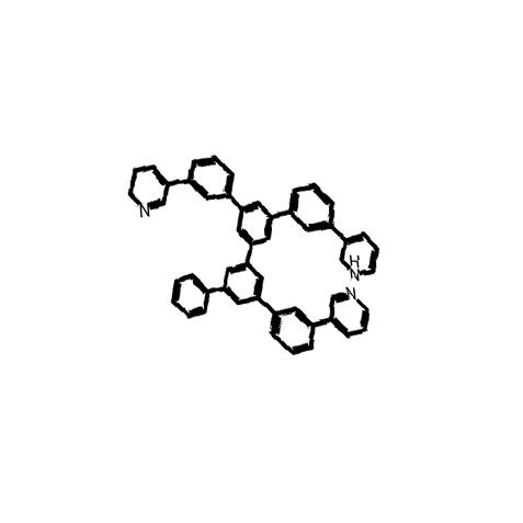 C1=CNCC(c2cccc(-c3cc(-c4cccc(C5=CCCN=C5)c4)cc(-c4cc(-c5ccccc5)cc(-c5cccc(-c6cccnc6)c5)c4)c3)c2)=C1